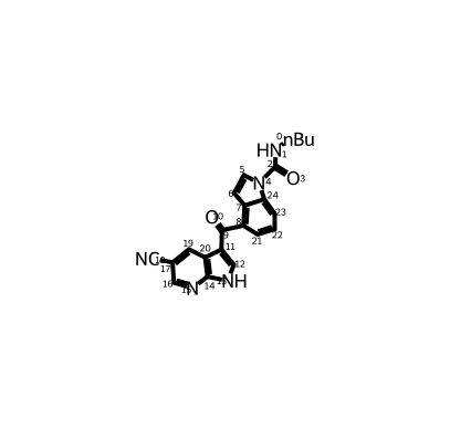 CCCCNC(=O)n1ccc2c(C(=O)c3c[nH]c4ncc(C#N)cc34)cccc21